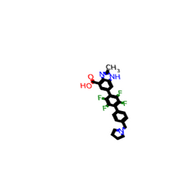 Cc1nc2c(C(=O)O)cc(-c3c(F)c(F)c(-c4ccc(CN5CCCC5)cc4)c(F)c3F)cc2[nH]1